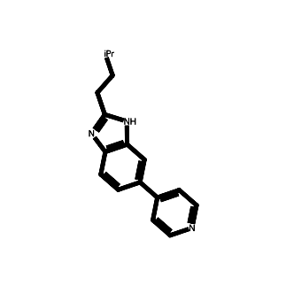 CC(C)CCc1nc2ccc(-c3ccncc3)cc2[nH]1